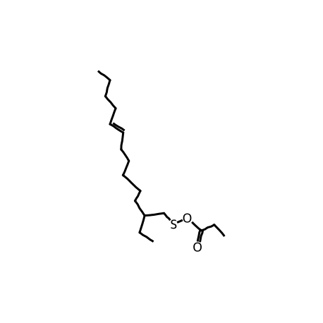 CCCCC=CCCCCCC(CC)CSOC(=O)CC